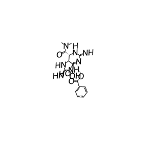 CN(C)C(=O)[C@@H]1NC(=N)N2C[C@H](OC(=O)c3ccccc3)C(O)(O)C23NC(=N)NC13